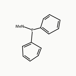 CNP(c1ccccc1)c1ccccc1